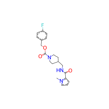 Cn1cccc1C(=O)NCC1CCN(C(=O)OCc2ccc(F)cc2)CC1